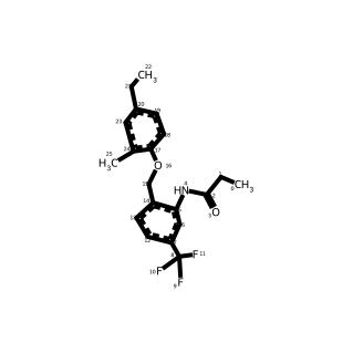 CCC(=O)Nc1cc(C(F)(F)F)ccc1COc1ccc(CC)cc1C